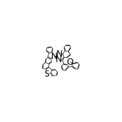 c1ccc2c(c1)ccc1c(-c3cccc4c3oc3ccccc34)nc(-n3c4ccccc4c4cc5ccc6sc7ccccc7c6c5cc43)nc12